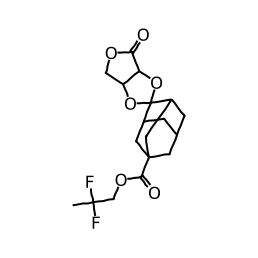 CC(F)(F)COC(=O)C12CC3CC(C1)C1(OC4COC(=O)C4O1)C(C3)C2